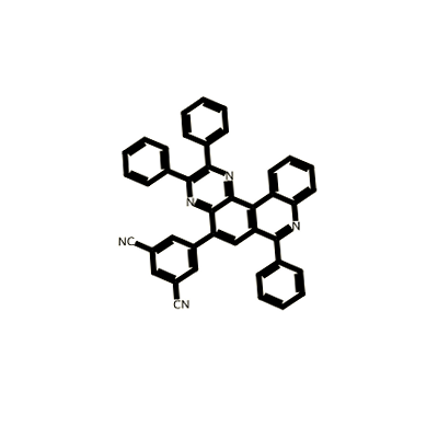 N#Cc1cc(C#N)cc(-c2cc3c(-c4ccccc4)nc4ccccc4c3c3nc(-c4ccccc4)c(-c4ccccc4)nc23)c1